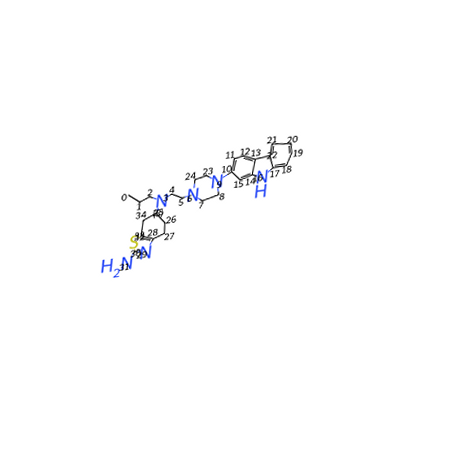 CCCN(CCN1CCN(c2ccc3c(c2)[nH]c2ccccc23)CC1)[C@H]1CCc2nc(N)sc2C1